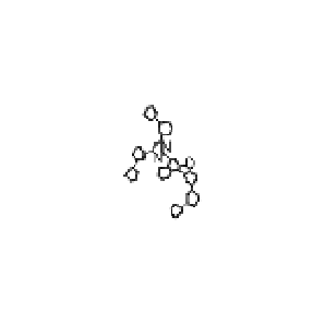 c1ccc(-c2cccc(-c3ccc4oc5cc(-c6nc(-c7cccc(-c8ccccc8)c7)cc(-c7cccc(-c8ccccc8)c7)n6)c6ccccc6c5c4c3)c2)cc1